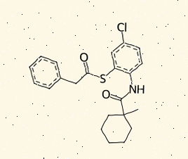 CC1(C(=O)Nc2ccc(Cl)cc2SC(=O)Cc2ccccc2)CCCCC1